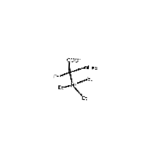 CCCCCCC(CC)(C(=O)[O-])[N+](CC)(CC)CC